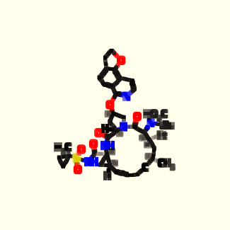 CC[C@@H]1C[C@H](C)CCC=C[C@@H]2C[C@@]2(C(=O)NS(=O)(=O)C2(C)CC2)NC(=O)[C@@H]2C[C@@H](Oc3nccc4c5c(ccc34)CCO5)CN2C(=O)[C@H]1N(C(=O)O)C(C)(C)C